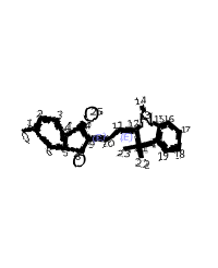 Cc1ccc2c(c1)C(=O)/C(=C/C=C1/N(C)c3ccccc3C1(C)C)C2=O